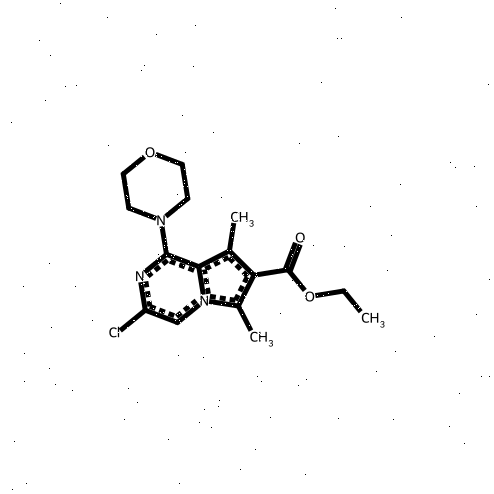 CCOC(=O)c1c(C)c2c(N3CCOCC3)nc(Cl)cn2c1C